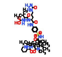 CC(=C[C@H](C(C)C)N(C)C(=O)[C@@H](NC(=O)[C@H]1CCCCN1C(C)C)C(C)(C)C)C(=O)NS(=O)(=O)c1ccc(NC(=O)[C@H](CCCNC(N)=O)NC(=O)[C@@H](NC(=O)O)C(C)C)cc1